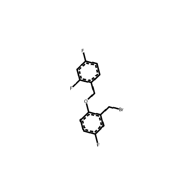 Fc1ccc(COc2ccc(F)cc2CBr)c(F)c1